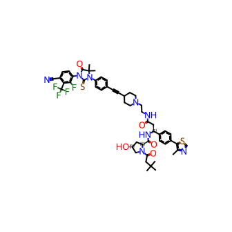 Cc1ncsc1-c1ccc([C@H](CC(=O)NCCN2CCC(C#Cc3ccc(N4C(=S)N(c5ccc(C#N)c(C(F)(F)F)c5F)C(=O)C4(C)C)cc3)CC2)NC(=O)[C@@H]2C[C@@H](O)CN2C(=O)CC(C)(C)C)cc1